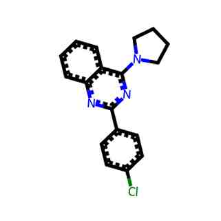 Clc1ccc(-c2nc(N3CCCC3)c3ccccc3n2)cc1